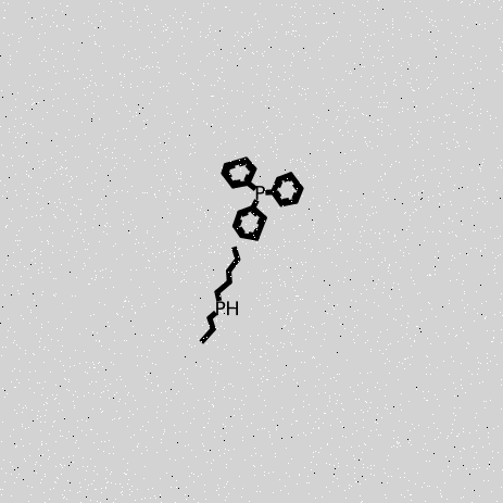 CCCCCPCCC.c1ccc(P(c2ccccc2)c2ccccc2)cc1